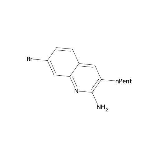 CCCCCc1cc2ccc(Br)cc2nc1N